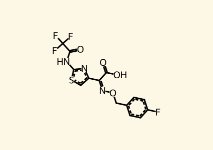 O=C(O)C(=NOCc1ccc(F)cc1)c1csc(NC(=O)C(F)(F)F)n1